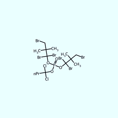 CCCC(Cl)(Cl)OP(=O)(OC(Br)(Br)C(C)(C)CBr)OC(Br)(Br)C(C)(C)CBr